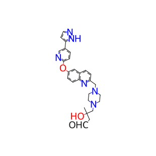 CC(O)(CC=O)CN1CCN(Cc2ccc3cc(Oc4ccc(-c5ccn[nH]5)cn4)ccc3n2)CC1